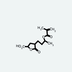 C=C(C)C(=O)OC(C)CCC1CC(C(=O)O)OC1=O